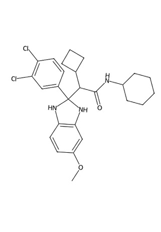 COc1ccc2c(c1)NC(c1ccc(Cl)c(Cl)c1)(C(C(=O)NC1CCCCC1)C1CCC1)N2